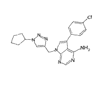 Nc1ncnc2c1c(-c1ccc(Cl)cc1)cn2Cc1cn(C2CCCC2)nn1